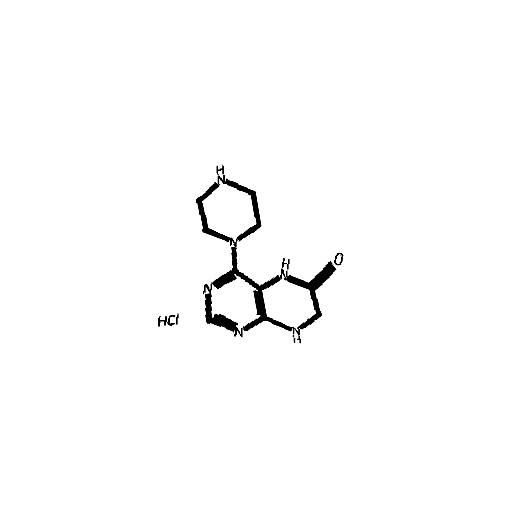 Cl.O=C1CNc2ncnc(N3CCNCC3)c2N1